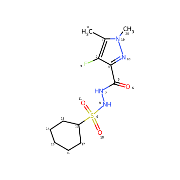 Cc1c(F)c(C(=O)NNS(=O)(=O)C2CCCCC2)nn1C